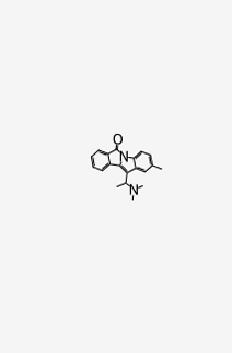 Cc1ccc2c(c1)c(C(C)N(C)C)c1n2C(=O)c2ccccc2-1